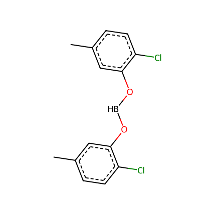 Cc1ccc(Cl)c(OBOc2cc(C)ccc2Cl)c1